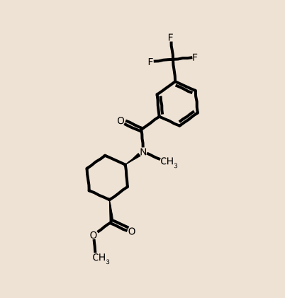 COC(=O)[C@H]1CCC[C@@H](N(C)C(=O)c2cccc(C(F)(F)F)c2)C1